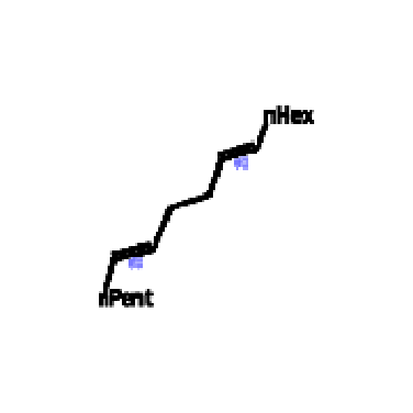 [CH2]CCCCC/C=C/CC/C=C/CCCCC